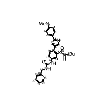 CNc1ccc(-c2ncc(-c3ccc(NC(=O)NCc4ccccn4)cc3[S+]([O-])NC(C)(C)C)s2)cc1